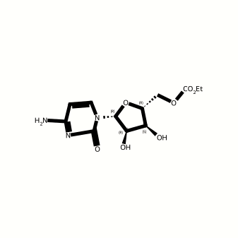 CCOC(=O)OC[C@H]1O[C@@H](n2ccc(N)nc2=O)[C@H](O)[C@@H]1O